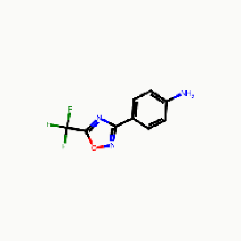 Nc1ccc(-c2noc(C(F)(F)F)n2)cc1